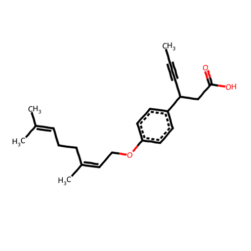 CC#CC(CC(=O)O)c1ccc(OC/C=C(/C)CCC=C(C)C)cc1